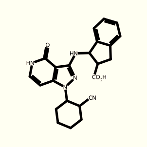 N#CC1CCCCC1n1nc(NC2c3ccccc3CC2C(=O)O)c2c(=O)[nH]ccc21